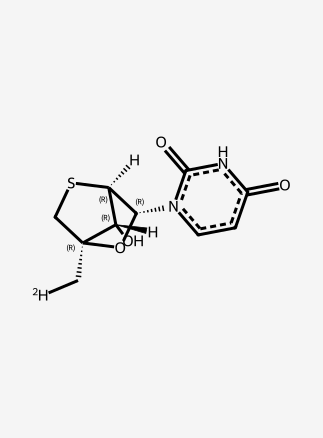 [2H]C[C@@]12CS[C@@H]([C@H](n3ccc(=O)[nH]c3=O)O1)[C@@H]2O